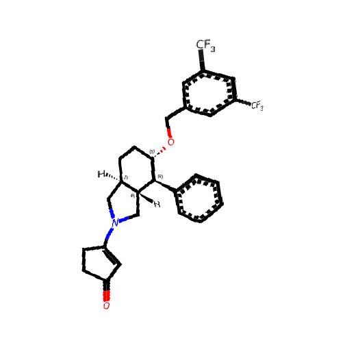 O=C1C=C(N2C[C@H]3CC[C@H](OCc4cc(C(F)(F)F)cc(C(F)(F)F)c4)[C@@H](c4ccccc4)[C@@H]3C2)CC1